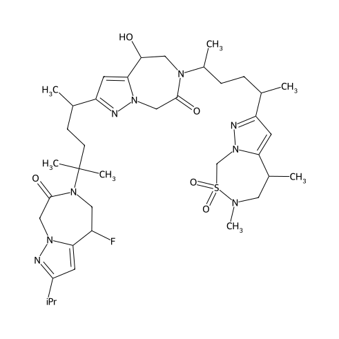 CC(C)c1cc2n(n1)CC(=O)N(C(C)(C)CCC(C)c1cc3n(n1)CC(=O)N(C(C)CCC(C)c1cc4n(n1)CS(=O)(=O)N(C)CC4C)CC3O)CC2F